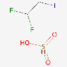 FC(F)CI.O=[SH](=O)O